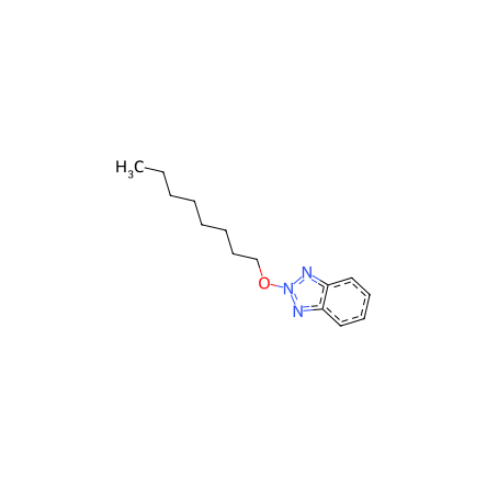 CCCCCCCCOn1nc2ccccc2n1